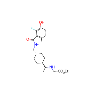 CCOC(=O)CNC(C)[C@H]1CC[C@H](CN2Cc3ccc(O)c(F)c3C2=O)CC1